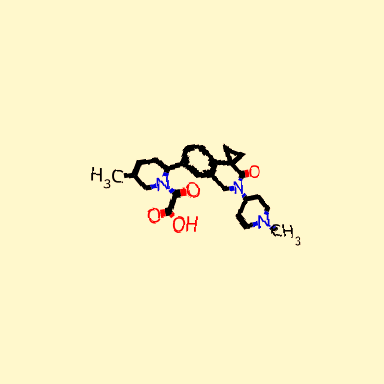 CC1CCC(c2ccc3c(c2)CN(C2CCN(C)CC2)C(=O)C32CC2)N(C(=O)C(=O)O)C1